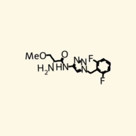 COC[C@@H](N)C(=O)Nc1cn(Cc2c(F)cccc2F)nn1